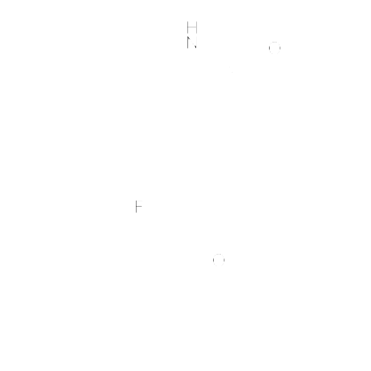 Cc1c[nH]c(=O)c2ccc(OC3CCCCC3)c(F)c12